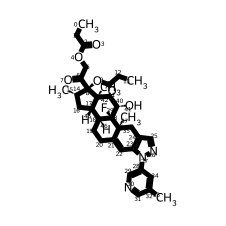 CCC(=O)OCC(=O)[C@@]1(OC(=O)CC)[C@@H](C)C[C@H]2[C@@H]3CCC4=Cc5c(cnn5-c5cncc(C)c5)C[C@]4(C)[C@@]3(F)[C@@H](O)C[C@@]21C